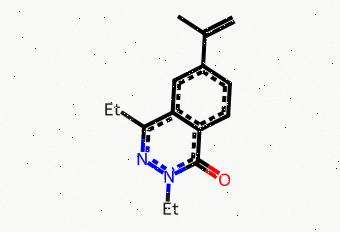 C=C(C)c1ccc2c(=O)n(CC)nc(CC)c2c1